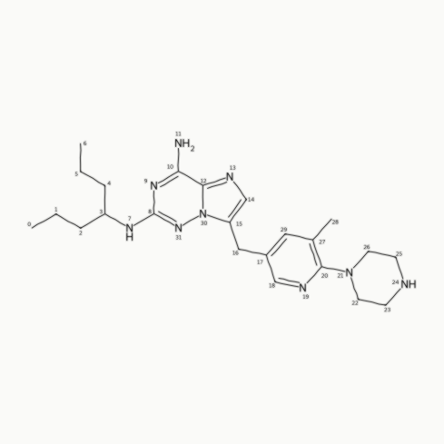 CCCC(CCC)Nc1nc(N)c2ncc(Cc3cnc(N4CCNCC4)c(C)c3)n2n1